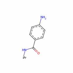 CC(C)NC(=O)c1ccc(N)cc1